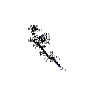 C/C=C/C=C/C=C/C=C/[C@H](C)[C@@H](O)[C@@H](C)[C@H](C)OC(=O)C[C@H](O)C[C@H](O)CC[C@@H](O)[C@H](O)C[C@H](O)C[C@]1(O)C[C@H](O)[C@@H](NC(=O)N2CC(O[C@H]3OC(CO)[C@@H](O)C(O)C3O)C2)[C@H](C[C@H](/C=C/C=C/C)O[C@@H]2O[C@H](C)[C@@H](O)[C@H](N)[C@@H]2O)O1